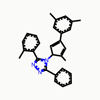 CC1=CC(c2cc(C)cc(C)c2)=CC1n1c(-c2ccccc2)nnc1-c1ccccc1C